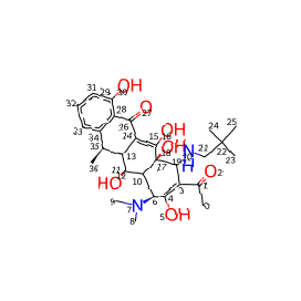 CC(=O)C1=C(O)[C@@H](N(C)C)C2[C@@H](O)C3C(=C(O)[C@]2(O)[C@@H]1NCC(C)(C)C)C(=O)c1c(O)cccc1[C@@H]3C